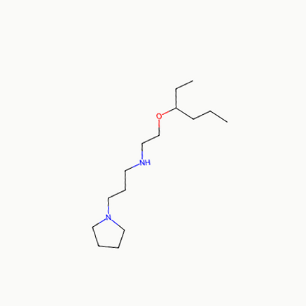 CCCC(CC)OCCNCCCN1CCCC1